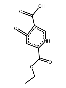 CCOC(=O)c1cc(=O)c(C(=O)O)c[nH]1